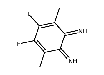 CC1=C(F)C(I)=C(C)C(=N)C1=N